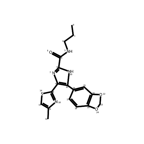 CCCNC(=O)c1nc(-c2nc(C)cs2)c(-c2ccc3c(c2)OCO3)[nH]1